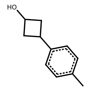 Cc1ccc(C2CC(O)C2)cc1